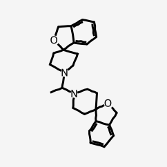 CC(N1CCC2(CC1)OCc1ccccc12)N1CCC2(CC1)OCc1ccccc12